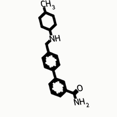 CC1CCC(NCc2ccc(-c3cccc(C(N)=O)c3)cc2)CC1